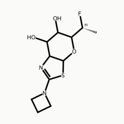 C[C@@H](F)C1OC2SC(N3CCC3)=NC2C(O)C1O